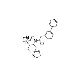 CN(C(=O)Cc1cccc(-c2ccccc2)c1)C1CC2(CCC1N1CCC1)SCCS2